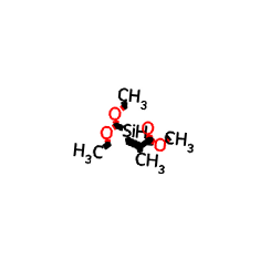 CCOC(OCC)[SiH2]C=C(C)C(=O)OC